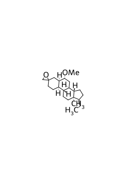 C/C=C1/CC[C@H]2[C@@H]3C[C@@H](OC)[C@@H]4CC5(CC[C@@H]4[C@H]3CC[C@]12C)CO5